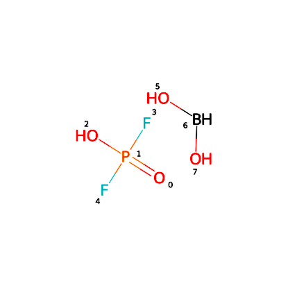 O=P(O)(F)F.OBO